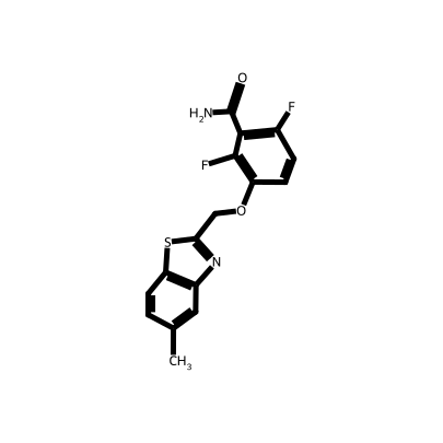 Cc1ccc2sc(COc3ccc(F)c(C(N)=O)c3F)nc2c1